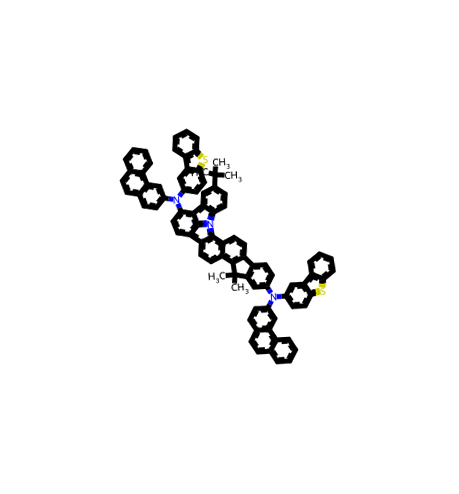 CC(C)(C)c1ccc2c(c1)c1c(N(c3ccc4ccc5ccccc5c4c3)c3ccc4sc5ccccc5c4c3)ccc3c4ccc5c6c(ccc5c4n2c31)-c1ccc(N(c2ccc3ccc4ccccc4c3c2)c2ccc3sc4ccccc4c3c2)cc1C6(C)C